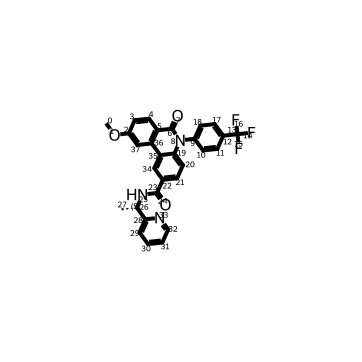 COc1ccc2c(=O)n(-c3ccc(C(F)(F)F)cc3)c3ccc(C(=O)N[C@@H](C)c4ccccn4)cc3c2c1